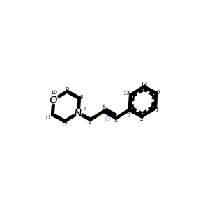 [c]1ccc(/C=C/CN2CCOCC2)cc1